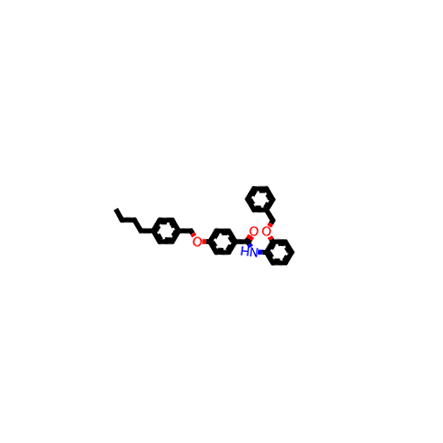 CCCCc1ccc(COc2ccc(C(=O)Nc3ccccc3OCc3ccccc3)cc2)cc1